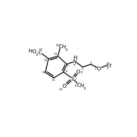 CCOCCNc1c(S(C)(=O)=O)ccc(C(=O)O)c1C